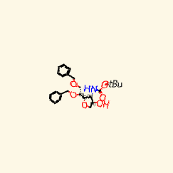 CC(C)(C)OC(=O)N[C@H]1[C@@H]([C@@H](COCc2ccccc2)OCc2ccccc2)OC[C@@H]1O